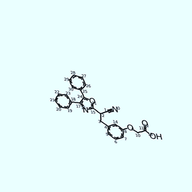 N#CC(Cc1cccc(OCC(=O)O)c1)c1nc(-c2ccccc2)c(-c2ccccc2)o1